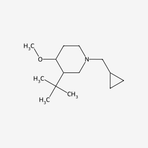 COC1CCN(CC2CC2)CC1C(C)(C)C